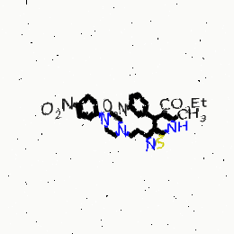 CCOC(=O)C1=C(C)Nc2snc(CCN3CCN(c4ccc([N+](=O)[O-])cc4)CC3)c2C1c1cccc([N+](=O)[O-])c1